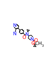 CC1(OC(=O)N2CCC(N(C(=O)c3ccc(-c4ccncc4C#N)cc3)C3CC3)CC2)CC1